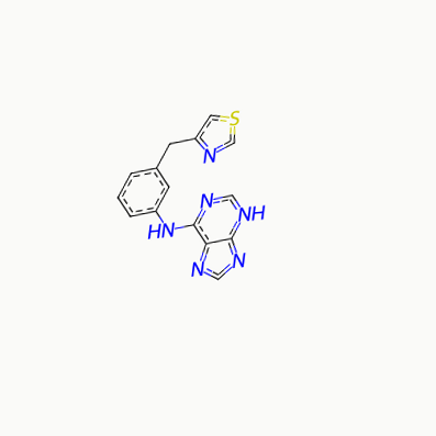 c1cc(Cc2cscn2)cc(Nc2nc[nH]c3ncnc2-3)c1